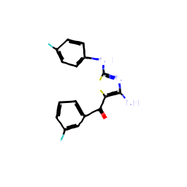 Nc1nc(Nc2ccc(F)cc2)sc1C(=O)c1cccc(F)c1